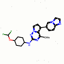 COc1nc(NC2CCC(OC(F)F)CC2)nn2ccc(-c3ccc4nccn4c3)c12